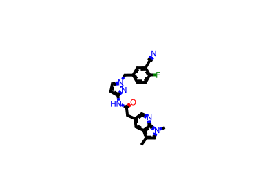 Cc1cn(C)c2ncc(CC(=O)Nc3ccn(Cc4ccc(F)c(C#N)c4)n3)cc12